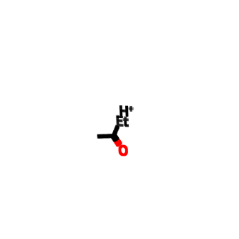 CCC(C)=O.[H+]